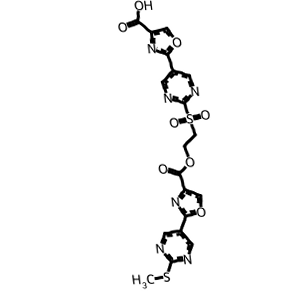 CSc1ncc(-c2nc(C(=O)OCCS(=O)(=O)c3ncc(-c4nc(C(=O)O)co4)cn3)co2)cn1